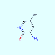 CC(C)c1cc(N)c(=O)n(C)c1